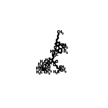 C=C(C)[C@@H]1CCC(C)=C[C@H]1c1c(O)cc(CCCCC)cc1OC(=S)NC/C=C/C1=C(C(=O)OCC[Si](C)(C)C)N2C(=O)[C@](C)([C@@H](C)O[Si](C)(C)C(C)(C)C)[C@H]2S1